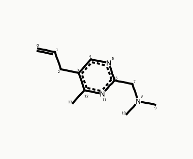 C=CCc1cnc(CN(C)C)nc1C